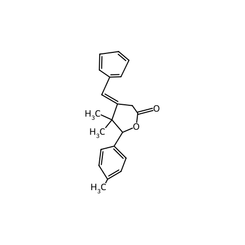 Cc1ccc(C2OC(=O)C/C(=C\c3ccccc3)C2(C)C)cc1